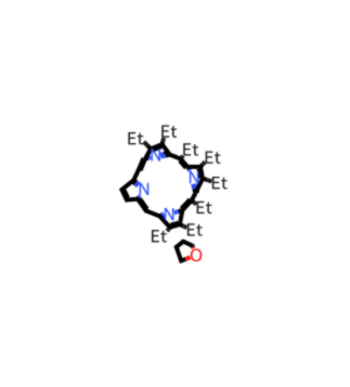 C1CCOC1.CCC1=C(CC)C2=NC1=CC1=NC(=CC3=NC(=C(CC)C4=NC(=C2CC)C(CC)=C4CC)C(CC)=C3CC)C=C1